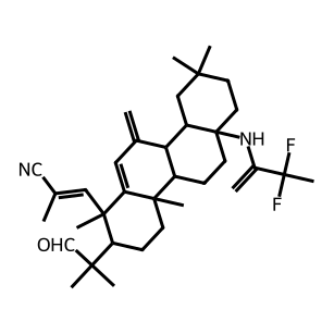 C=C1C=C2C(C)(/C=C(\C)C#N)C(C(C)(C)C=O)CCC2(C)C2CCC3(NC(=C)C(C)(F)F)CCC(C)(C)CC3C12